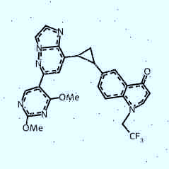 COc1ncc(-c2cc(C3CC3c3ccc4c(c3)c(=O)ccn4CC(F)(F)F)c3nccn3n2)c(OC)n1